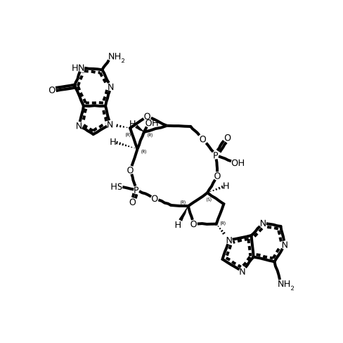 Nc1nc2c(ncn2[C@@H]2OC3COP(=O)(O)O[C@H]4C[C@H](n5cnc6c(N)ncnc65)O[C@@H]4COP(=O)(S)O[C@@H]2[C@@H]3O)c(=O)[nH]1